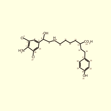 Nc1c(Cl)cc(C(O)CNCCCCC(CCc2ccc(O)cc2)C(=O)O)cc1Cl